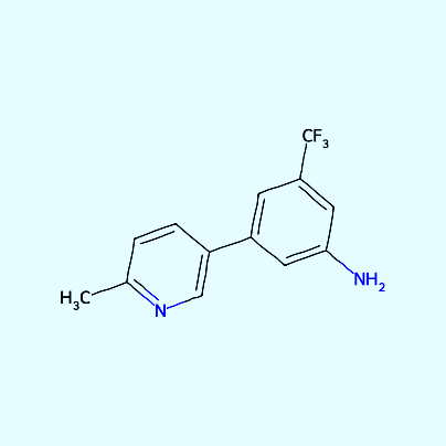 Cc1ccc(-c2cc(N)cc(C(F)(F)F)c2)cn1